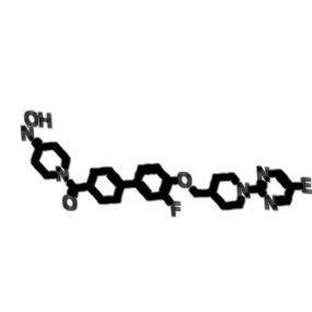 CCc1cnc(N2CCC(COc3ccc(C4=CCC(C(=O)N5CCC(=NO)CC5)CC4)cc3F)CC2)nc1